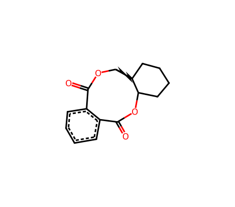 O=C1OC2CCCCC23CCCCC3OC(=O)c2ccccc21